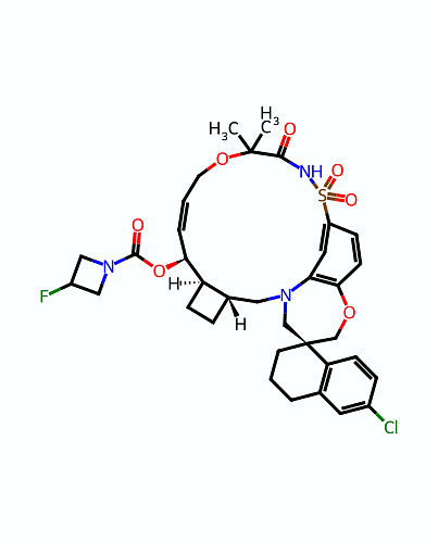 CC1(C)OCC=C[C@H](OC(=O)N2CC(F)C2)[C@@H]2CC[C@H]2CN2C[C@@]3(CCCc4cc(Cl)ccc43)COc3ccc(cc32)S(=O)(=O)NC1=O